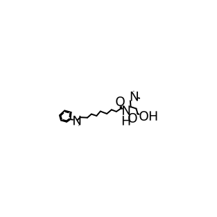 CN(C)CC(CC(=O)O)NC(=O)CCCCCCCCN(C)c1ccccc1